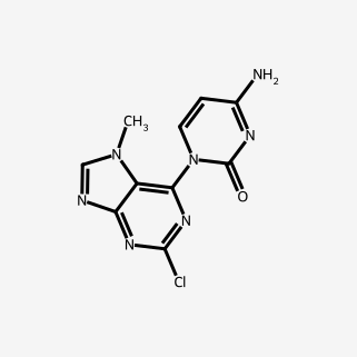 Cn1cnc2nc(Cl)nc(-n3ccc(N)nc3=O)c21